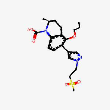 CCCOc1c(-c2cnn(CCS(C)(=O)=O)c2)ccc2c1CC[C@H](C)N2C(=O)O